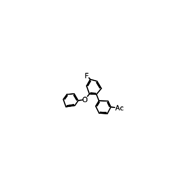 CC(=O)c1cccc(-c2ccc(F)cc2Oc2ccccc2)c1